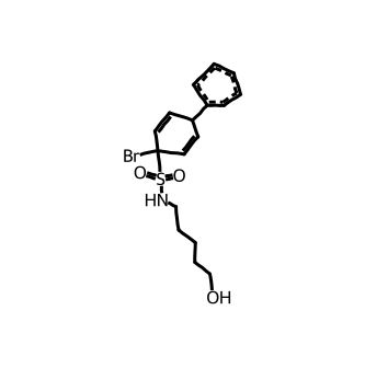 O=S(=O)(NCCCCCO)C1(Br)C=CC(c2ccccc2)C=C1